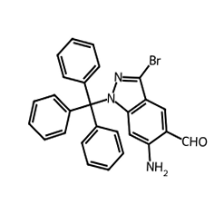 Nc1cc2c(cc1C=O)c(Br)nn2C(c1ccccc1)(c1ccccc1)c1ccccc1